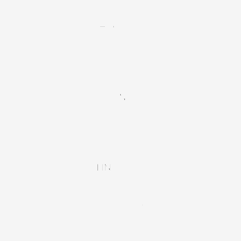 OCCNCCNC1CC1